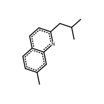 Cc1ccc2ccc(CC(C)C)nc2c1